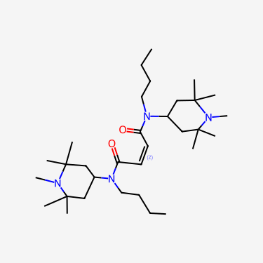 CCCCN(C(=O)/C=C\C(=O)N(CCCC)C1CC(C)(C)N(C)C(C)(C)C1)C1CC(C)(C)N(C)C(C)(C)C1